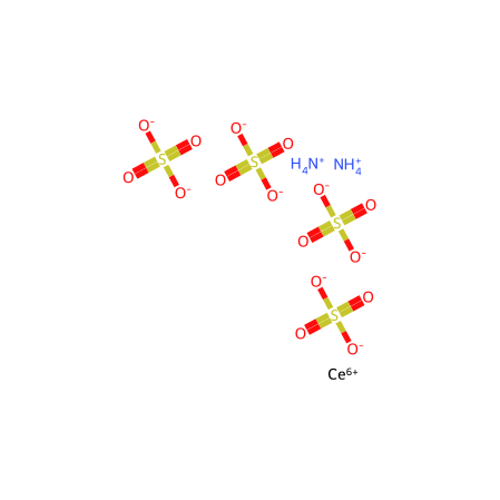 O=S(=O)([O-])[O-].O=S(=O)([O-])[O-].O=S(=O)([O-])[O-].O=S(=O)([O-])[O-].[Ce+6].[NH4+].[NH4+]